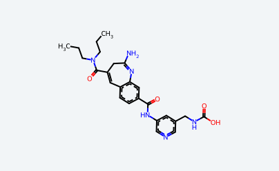 CCCN(CCC)C(=O)C1=Cc2ccc(C(=O)Nc3cncc(CNC(=O)O)c3)cc2N=C(N)C1